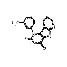 Cc1cccc(-n2c(=O)[nH]c(=O)c3oc4ncccc4c32)c1